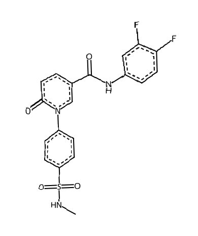 CNS(=O)(=O)c1ccc(-n2cc(C(=O)Nc3ccc(F)c(F)c3)ccc2=O)cc1